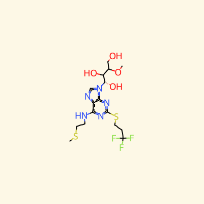 COC(CO)C(O)[C@H](O)n1cnc2c(NCCSC)nc(SCCC(F)(F)F)nc21